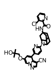 CC(C)(O)COc1cc(-c2ccc(N3C4CC5CC3CC(NC(=O)c3ncccc3Cl)(C5)C4)nc2)c2c(C#N)cnn2c1